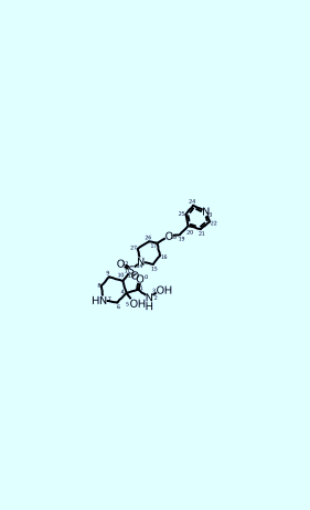 O=C(NO)C1(O)CNCCC1S(=O)(=O)N1CCC(OCc2ccncc2)CC1